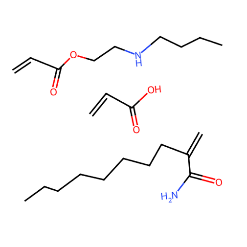 C=C(CCCCCCCC)C(N)=O.C=CC(=O)O.C=CC(=O)OCCNCCCC